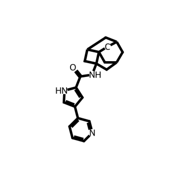 O=C(NC12CC3CC4CC(C1)C2(C4)C3)c1cc(-c2cccnc2)c[nH]1